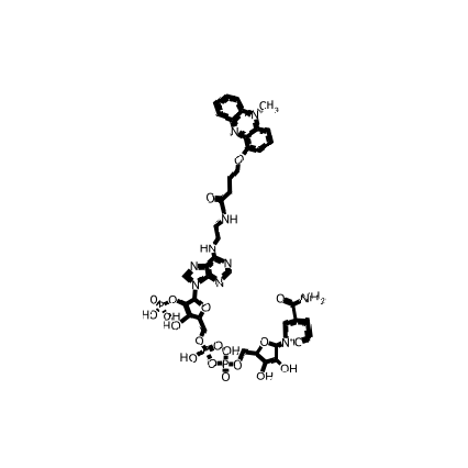 C[n+]1c2ccccc2nc2c(OCCCC(=O)NCCNc3ncnc4c3ncn4C3OC(COP(=O)(O)OP(=O)(O)OCC4OC([n+]5cccc(C(N)=O)c5)C(O)C4O)C(O)C3OP(=O)(O)O)cccc21